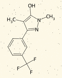 Cc1c(-c2cccc(C(F)(F)F)c2)nn(C)c1O